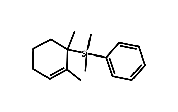 CC1=CCCCC1(C)[Si](C)(C)c1ccccc1